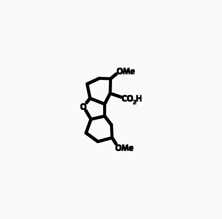 COC1CCC2OC3CCC(OC)C(C(=O)O)C3C2C1